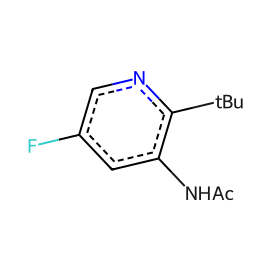 CC(=O)Nc1cc(F)cnc1C(C)(C)C